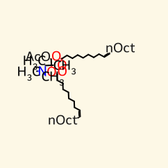 CCCCCCCC/C=C\CCCCCCCC(=O)OC(OC(C)=O)C(C)(OC(=O)CCCCCCC/C=C\CCCCCCCC)C(C)N(C)C